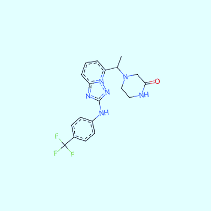 CC(c1cccc2nc(Nc3ccc(C(F)(F)F)cc3)nn12)N1CCNC(=O)C1